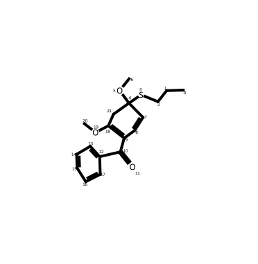 CCCSC1(OC)C=CC(C(=O)c2ccccc2)=C(OC)C1